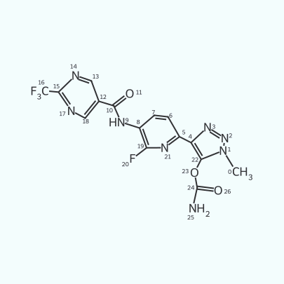 Cn1nnc(-c2ccc(NC(=O)c3cnc(C(F)(F)F)nc3)c(F)n2)c1OC(N)=O